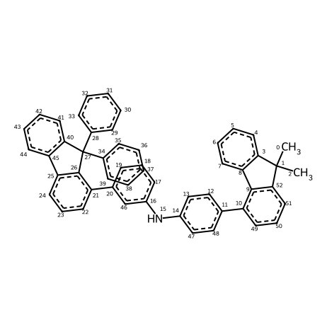 CC1(C)c2ccccc2-c2c(-c3ccc(Nc4cccc(-c5cccc6c5C(c5ccccc5)(c5ccccc5)c5ccccc5-6)c4)cc3)cccc21